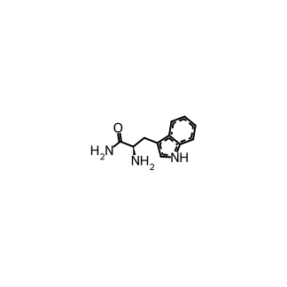 NC(=O)[C@H](N)Cc1c[nH]c2ccccc12